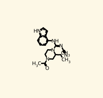 CC(=O)N1CCN(/C(=N\C#N)Nc2cccc3[nH]ccc23)C(C(C)C)C1